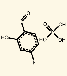 O=Ic1ccc(F)cc1O.O=P(O)(O)O